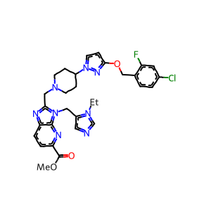 CCn1cncc1Cn1c(CN2CCC(n3ccc(OCc4ccc(Cl)cc4F)n3)CC2)nc2ccc(C(=O)OC)nc21